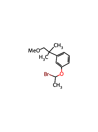 COCC(C)(C)c1cccc(OC(C)Br)c1